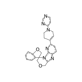 C1=C(c2ccc3nc4n(c3n2)C2(COC4)COc3ccccc32)CCN(c2ccncn2)C1